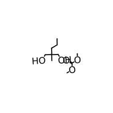 CCCC(C)(CO)CO.COC(=O)OC